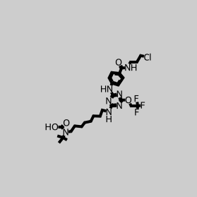 CC(C)(C)N(CCCCCCCCNc1nc(Nc2ccc(C(=O)NCCCCl)cc2)nc(OCC(F)(F)F)n1)C(=O)O